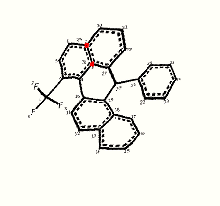 FC(F)(F)c1ccc[c]c1-c1ccc2ccccc2c1C(c1ccccc1)c1ccccc1